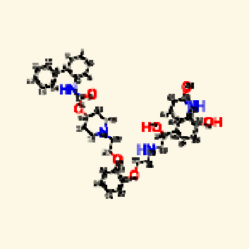 O=C(Nc1ccccc1-c1ccccc1)OC1CCN(CCOc2ccccc2OCCNC[C@@H](O)c2ccc(O)c3[nH]c(=O)ccc23)CC1